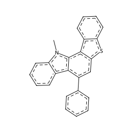 Cn1c2ccccc2c2c(-c3ccccc3)cc3sc4ccccc4c3c21